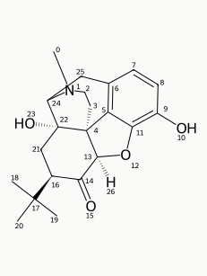 CN1CC[C@]23c4c5ccc(O)c4O[C@H]2C(=O)[C@@H](C(C)(C)C)C[C@@]3(O)C1C5